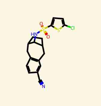 N#Cc1ccc2c(c1)CC1CCC(C2)C1NS(=O)(=O)c1ccc(Cl)s1